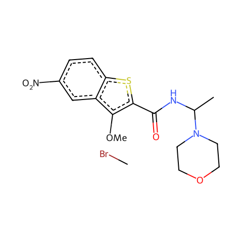 CBr.COc1c(C(=O)NC(C)N2CCOCC2)sc2ccc([N+](=O)[O-])cc12